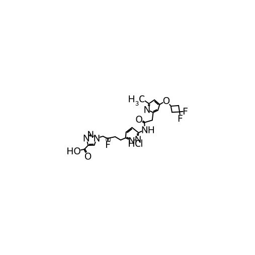 Cc1cc(OC2CC(F)(F)C2)cc(CC(=O)Nc2ccc(CC[C@@H](F)Cn3cc(C(=O)O)nn3)nn2)n1.Cl